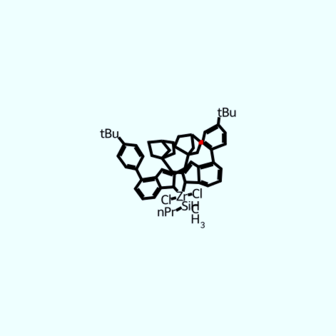 CCC[SiH](C)[Zr]([Cl])([Cl])([CH]1C(CC23CCC(CC2)C3)=Cc2c(-c3ccc(C(C)(C)C)cc3)cccc21)[CH]1C(CC23CCC(CC2)C3)=Cc2c(-c3ccc(C(C)(C)C)cc3)cccc21